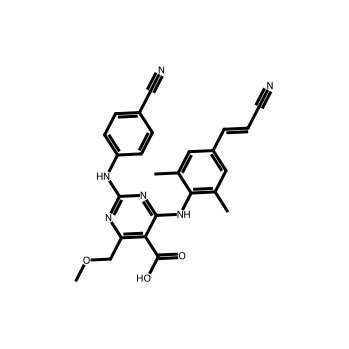 COCc1nc(Nc2ccc(C#N)cc2)nc(Nc2c(C)cc(/C=C/C#N)cc2C)c1C(=O)O